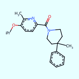 Cc1nc(C(=O)N2CCC(C)(c3ccccc3)CC2)ccc1OC(C)C